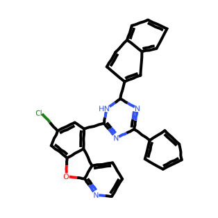 Clc1cc(C2=NC(c3ccccc3)=NC(c3ccc4ccccc4c3)N2)c2c(c1)oc1ncccc12